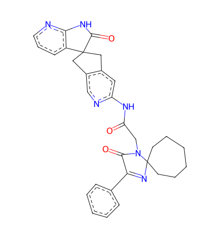 O=C(CN1C(=O)C(c2ccccc2)=NC12CCCCCC2)Nc1cc2c(cn1)CC1(C2)C(=O)Nc2ncccc21